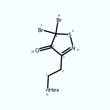 CCCCCCCCC1=NSC(Br)(Br)C1=O